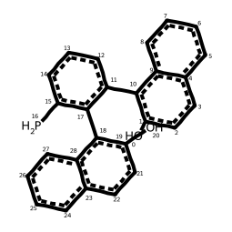 Oc1ccc2ccccc2c1-c1cccc(P)c1-c1c(O)ccc2ccccc12